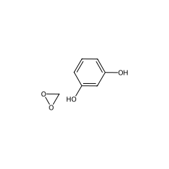 C1OO1.Oc1cccc(O)c1